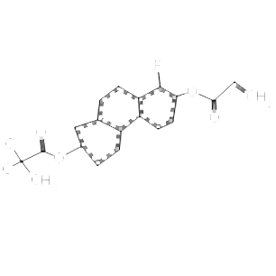 C=CC(=O)Oc1ccc2c(ccc3cc(OC(=O)C(C)(C)C)ccc32)c1F